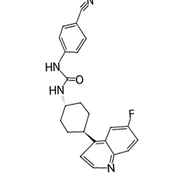 N#Cc1ccc(NC(=O)N[C@H]2CC[C@H](c3ccnc4ccc(F)cc43)CC2)cc1